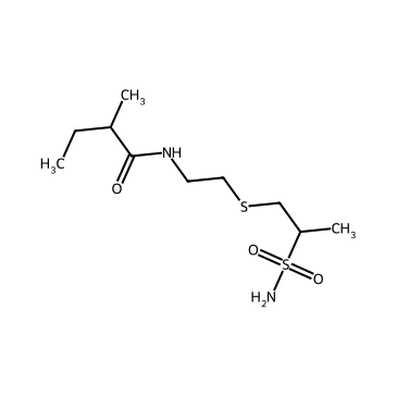 CCC(C)C(=O)NCCSCC(C)S(N)(=O)=O